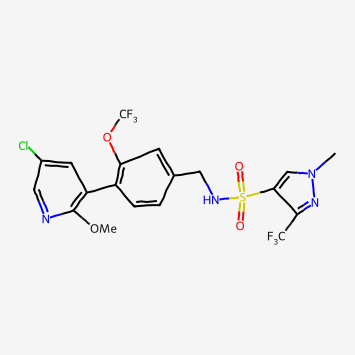 COc1ncc(Cl)cc1-c1ccc(CNS(=O)(=O)c2cn(C)nc2C(F)(F)F)cc1OC(F)(F)F